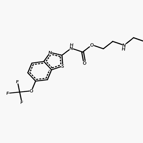 CCNCCOC(=O)Nc1nc2ccc(OC(F)(F)F)cc2s1